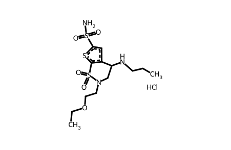 CCCNC1CN(CCOCC)S(=O)(=O)c2sc(S(N)(=O)=O)cc21.Cl